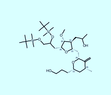 C=C1[C@H](C)C[C@H](CCCO)O[C@@H]1C[C@@H]1O[C@H](CC(CO[Si](C)(C)C(C)(C)C)O[Si](C)(C)C(C)(C)C)[C@H](OC)[C@H]1CC(C)O